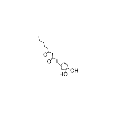 CCCCCC(=O)CC(=O)C=Cc1ccc(O)c(O)c1